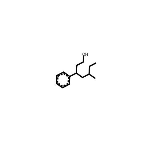 CCC(C)CC(CCO)c1ccccc1